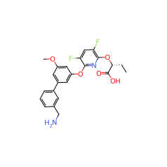 CC[C@@H](Oc1nc(Oc2cc(OC)cc(-c3cccc(CN)c3)c2)c(F)cc1F)C(=O)O